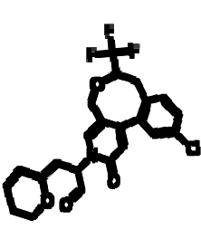 O=CC(CC1CCCCO1)n1cc2c(cc1=O)-c1cc(Cl)ccc1CC(C(F)(F)F)OC2